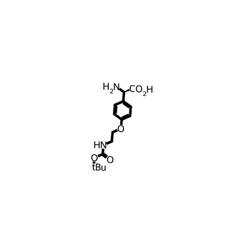 CC(C)(C)OC(=O)NCCOc1ccc([C@@H](N)C(=O)O)cc1